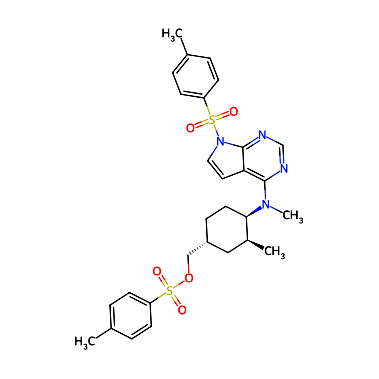 Cc1ccc(S(=O)(=O)OC[C@@H]2CC[C@@H](N(C)c3ncnc4c3ccn4S(=O)(=O)c3ccc(C)cc3)[C@@H](C)C2)cc1